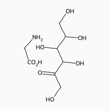 NCC(=O)O.O=C(CO)C(O)C(O)C(O)CO